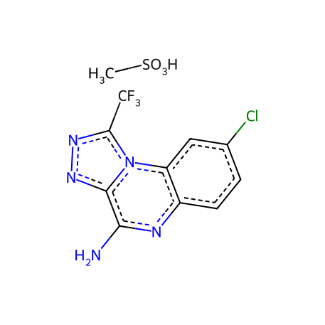 CS(=O)(=O)O.Nc1nc2ccc(Cl)cc2n2c(C(F)(F)F)nnc12